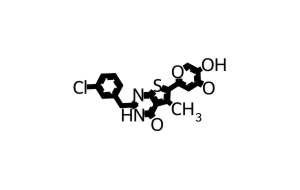 Cc1c(-c2cc(=O)c(O)co2)sc2nc(Cc3cccc(Cl)c3)[nH]c(=O)c12